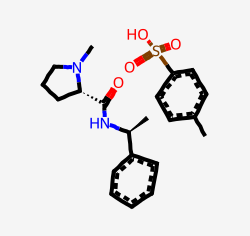 C[C@H](NC(=O)[C@@H]1CCCN1C)c1ccccc1.Cc1ccc(S(=O)(=O)O)cc1